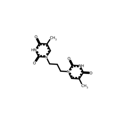 Cc1cn(CCCn2cc(C)c(=O)[nH]c2=O)c(=O)[nH]c1=O